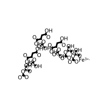 O=C(O)CC(OS(=O)O)C(=O)O.O=C(O)CC(OS(=O)O)C(=O)O.O=C(O)CC(OS(=O)O)C(=O)O.O=C([O-])O[Si](=O)O.O=C([O-])O[Si](=O)O.O=C([O-])O[Si](=O)O.[Fe+3]